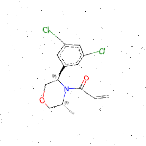 C=CC(=O)N1[C@H](C)COC[C@H]1c1cc(Cl)cc(Cl)c1